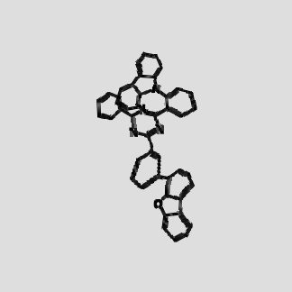 c1ccc(-c2nc(-c3cccc(-c4cccc5c4oc4ccccc45)c3)nc(-c3ccccc3-n3c4ccccc4c4ccccc43)n2)cc1